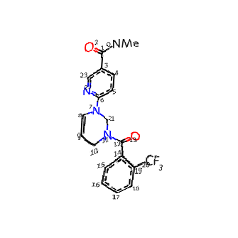 CNC(=O)c1ccc(N2C=CCN(C(=O)c3ccccc3C(F)(F)F)C2)nc1